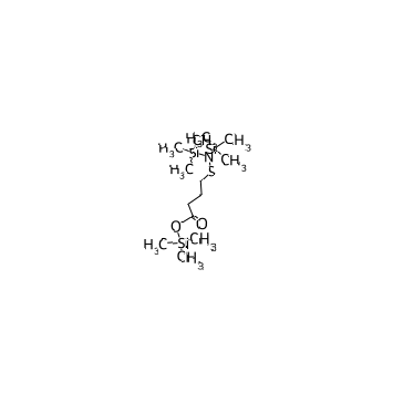 C[Si](C)(C)OC(=O)CCCSN([Si](C)(C)C)[Si](C)(C)C